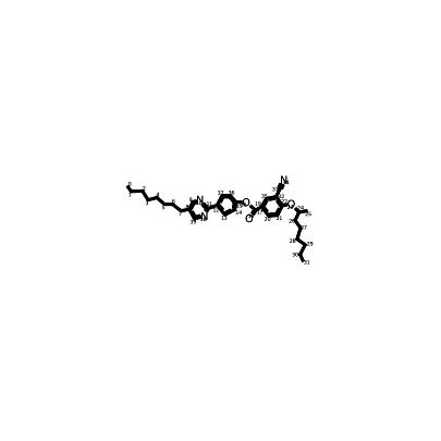 CCCCCCCCc1cnc(-c2ccc(OC(=O)c3ccc(OC(C)CCCCCC)c(C#N)c3)cc2)nc1